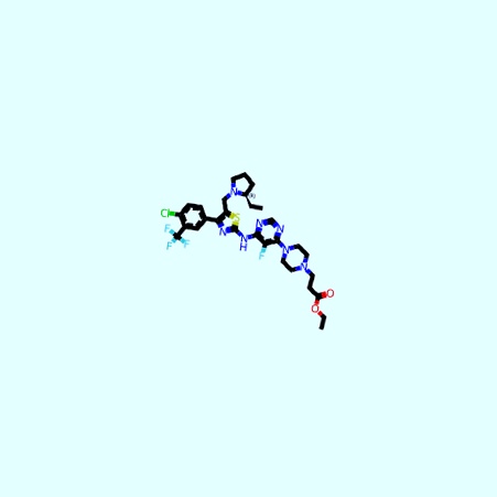 CCOC(=O)CCN1CCN(c2ncnc(Nc3nc(-c4ccc(Cl)c(C(F)(F)F)c4)c(CN4CCC[C@H]4CC)s3)c2F)CC1